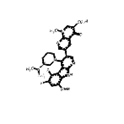 CNc1cc(F)c(F)c2c1[nH]c1ncc(-c3cnc4c(c3)c(=O)c(C(=O)O)cn4C)c(N3CCC[C@H](N(C)C)C3)c12